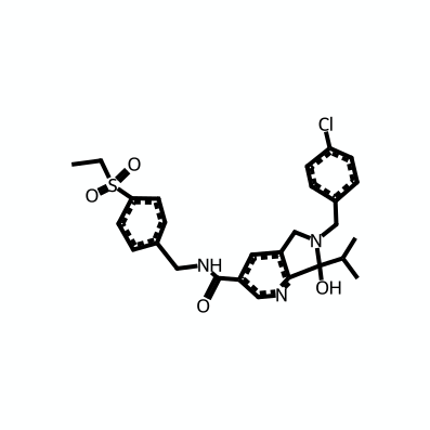 CCS(=O)(=O)c1ccc(CNC(=O)c2cnc3c(c2)CN(Cc2ccc(Cl)cc2)C3(O)C(C)C)cc1